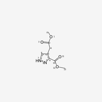 COC(=O)Cc1c[nH]nc1C(=O)OC